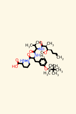 C=CCC[C@@H](OC)[C@@H](C)C(=O)NC(C(=O)NC(Cc1cccc(O[Si](C)(C)C(C)(C)C)c1)C(=O)N1CCCC(C(=O)O)N1)C(C)C